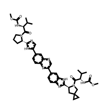 COC(=O)N[C@H](C(=O)N1CCC[C@H]1c1ncc(-c2ccc3nc(-c4ccc5nc([C@@H]6CC7(CC7)CN6C(=O)[C@@H](NC(=O)OC)C(C)C)[nH]c5c4)cnc3c2)[nH]1)C(C)C